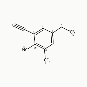 C#Cc1cc(CC#N)cc(C(F)(F)F)c1C#N